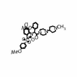 COc1ccc(S(=O)(=O)n2c(=O)n(C(C(=O)N3CCN(C4CCN(C)CC4)CC3)c3ccccc3OC)c3cc(Cl)ccc32)cc1